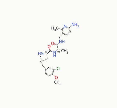 COc1ccc(C[C@@H]2CN[C@@H](C(=O)N[C@@H](C)C(=O)NCc3ccc(N)nc3C)C2)cc1Cl